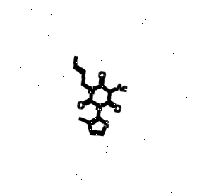 CC=CCN1C(=O)C(C(C)=O)C(=O)N(c2sccc2C)C1=O